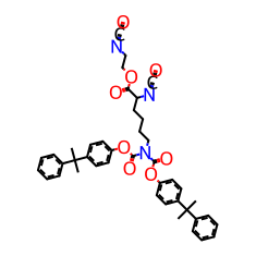 CC(C)(c1ccccc1)c1ccc(OC(=O)N(CCCCC(N=C=O)C(=O)OCCN=C=O)C(=O)Oc2ccc(C(C)(C)c3ccccc3)cc2)cc1